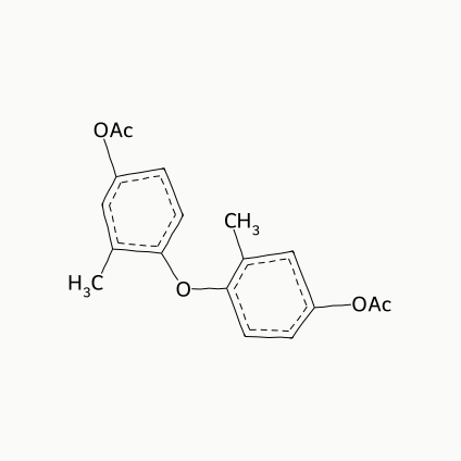 CC(=O)Oc1ccc(Oc2ccc(OC(C)=O)cc2C)c(C)c1